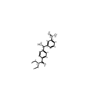 CCN(CC)C(=O)c1ccc(C(O)c2cccc([N+](=O)[O-])c2)cc1